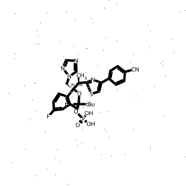 C[C@@H](c1nc(-c2ccc(C#N)cc2)cs1)[C@@](Cn1cncn1)(OC(OP(=O)(O)O)(C(C)(C)C)C(C)(C)C)c1ccc(F)cc1F